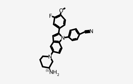 COc1ccc(-c2cc3cc(N4CCC[C@H](N)C4)ccc3n2-c2ccc(C#N)cc2)cc1F